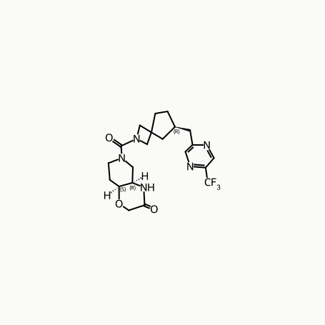 O=C1CO[C@H]2CCN(C(=O)N3CC4(CC[C@@H](Cc5cnc(C(F)(F)F)cn5)C4)C3)C[C@H]2N1